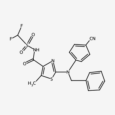 Cc1sc(N(Cc2ccccc2)c2ccc(C#N)cc2)nc1C(=O)NS(=O)(=O)C(F)F